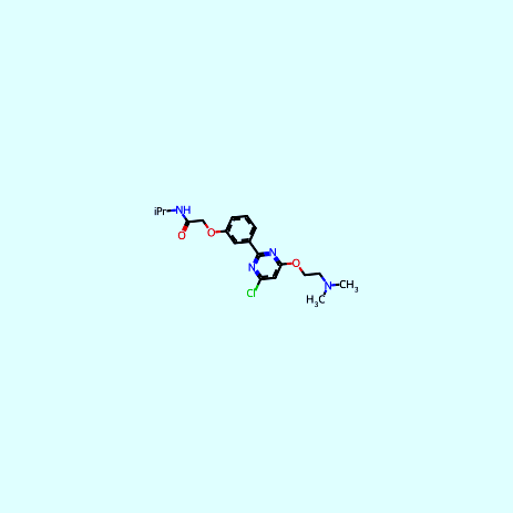 CC(C)NC(=O)COc1cccc(-c2nc(Cl)cc(OCCN(C)C)n2)c1